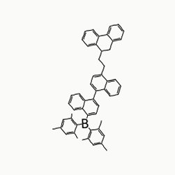 Cc1cc(C)c(B(c2c(C)cc(C)cc2C)c2ccc(-c3ccc(CCC4Cc5ccccc5-c5ccccc54)c4ccccc34)c3ccccc23)c(C)c1